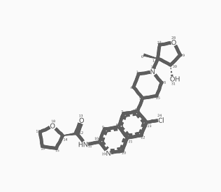 C[C@@]1(N2CCC(c3cc4cc(NC(=O)[C@H]5CCCO5)ncc4cc3Cl)CC2)COC[C@@H]1O